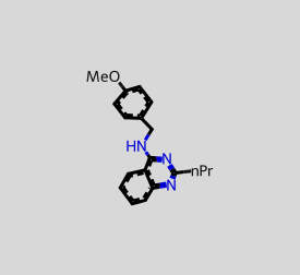 CCCc1nc(NCc2ccc(OC)cc2)c2ccccc2n1